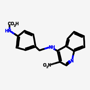 O=C(O)Nc1ccc(CNc2c([N+](=O)[O-])cnc3ccccc23)cc1